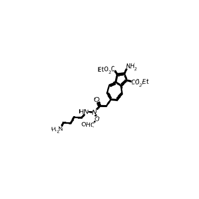 CCOC(=O)c1c2ccc(CC(=O)N(NCCCCN)OC=O)ccc-2c(C(=O)OCC)c1N